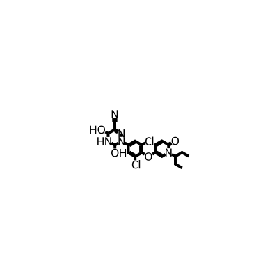 CCC(CC)n1cc(Oc2c(Cl)cc(N3N=C(C#N)C(O)NC3O)cc2Cl)ccc1=O